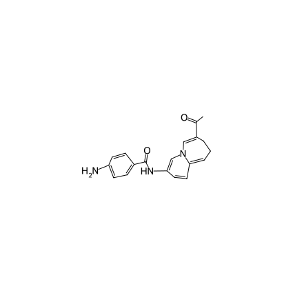 CC(=O)C1=CN2C=C(NC(=O)c3ccc(N)cc3)C=CC2=CCC1